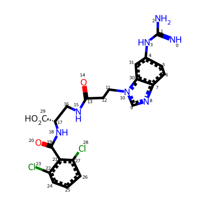 N=C(N)Nc1ccc2ncn(CCC(=O)NC[C@H](NC(=O)c3c(Cl)cccc3Cl)C(=O)O)c2c1